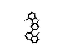 Clc1cccc2sc3ccc(-c4cccc5cccc(I)c45)cc3c12